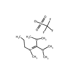 CCC[N+](C)=C(N(C)C)N(C)C.O=S(=O)([O-])C(F)(F)F